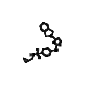 O=S(=O)(NCC1CC1)c1ccc(Nc2nccc(N3Cc4ccccc4C3)n2)cc1